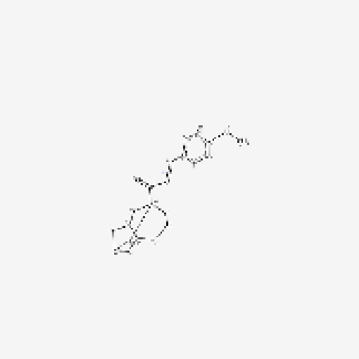 COc1ccc(/C=C/C(=O)C23CCCC4CC(CC4C2)C3)cn1